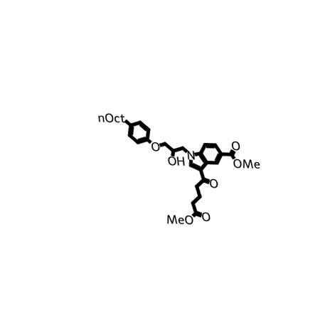 CCCCCCCCc1ccc(OCC(O)Cn2cc(C(=O)CCCC(=O)OC)c3cc(C(=O)OC)ccc32)cc1